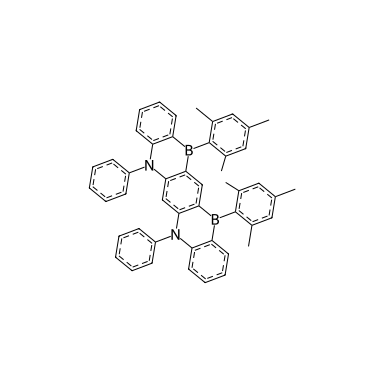 Cc1cc(C)c(B2c3ccccc3N(c3ccccc3)c3cc4c(cc32)B(c2c(C)cc(C)cc2C)c2ccccc2N4c2ccccc2)c(C)c1